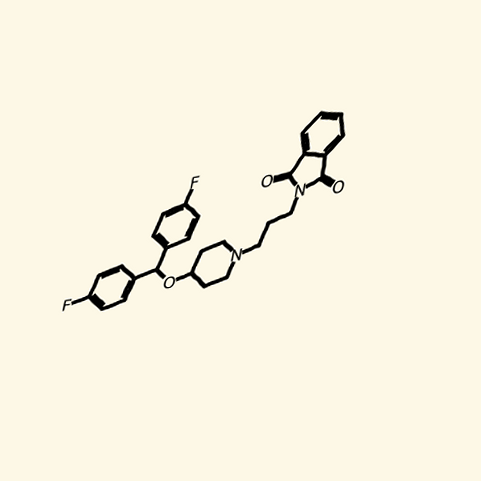 O=C1c2ccccc2C(=O)N1CCCN1CCC(OC(c2ccc(F)cc2)c2ccc(F)cc2)CC1